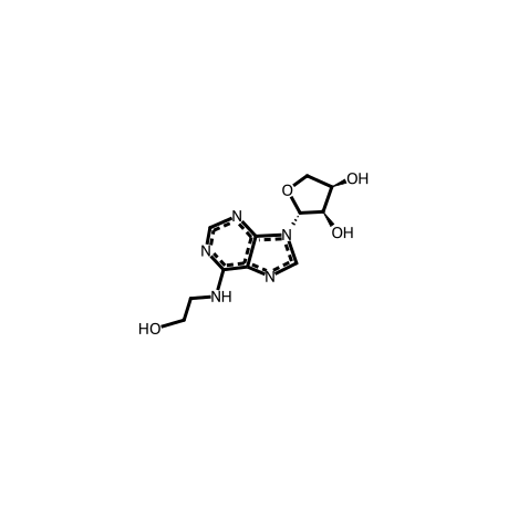 OCCNc1ncnc2c1ncn2[C@@H]1OC[C@@H](O)[C@H]1O